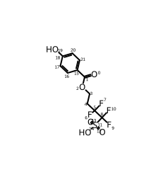 O=C(OCCC(F)(F)C(F)(F)S(=O)(=O)O)c1ccc(O)cc1